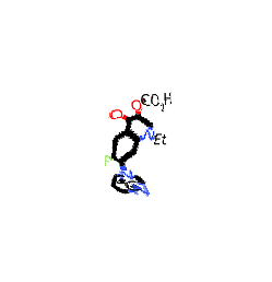 CCn1cc(OC(=O)O)c(=O)c2cc(F)c(N3CCN4CCC3CC4)cc21